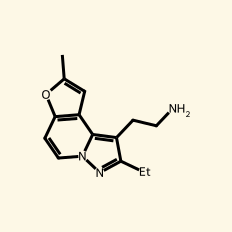 CCc1nn2ccc3oc(C)cc3c2c1CCN